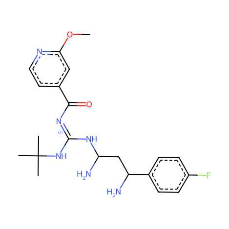 COc1cc(C(=O)/N=C(\NC(N)CC(N)c2ccc(F)cc2)NC(C)(C)C)ccn1